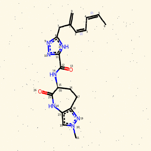 C=C(/C=C\C=C/C)Cc1nnc(C(=O)N[C@H]2CCc3nn(C)cc3NC2=O)[nH]1